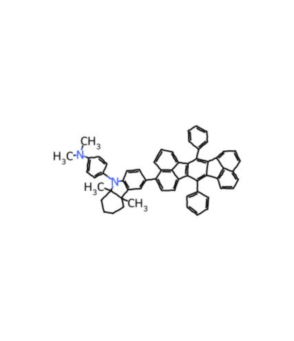 CN(C)c1ccc(N2c3ccc(-c4ccc5c6c(-c7ccccc7)c7c8cccc9cccc(c7c(-c7ccccc7)c6c6cccc4c65)c98)cc3C3(C)CCCCC23C)cc1